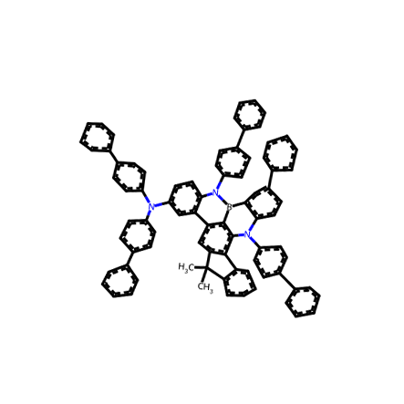 CC1(C)c2ccccc2-c2c1cc1c3c2N(c2ccc(-c4ccccc4)cc2)c2ccc(-c4ccccc4)cc2B3N(c2ccc(-c3ccccc3)cc2)c2ccc(N(c3ccc(-c4ccccc4)cc3)c3ccc(-c4ccccc4)cc3)cc2-1